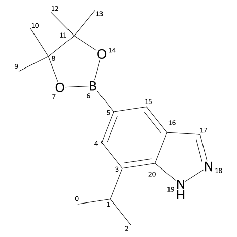 CC(C)c1cc(B2OC(C)(C)C(C)(C)O2)cc2cn[nH]c12